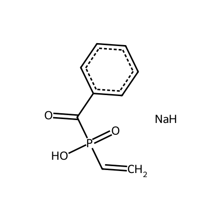 C=CP(=O)(O)C(=O)c1ccccc1.[NaH]